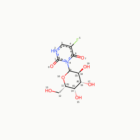 O=c1[nH]cc(F)c(=O)n1C1O[C@@H](CO)[C@@H](O)[C@@H](O)[C@@H]1O